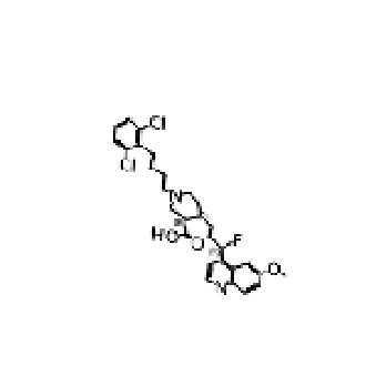 COc1ccc2nccc([C@H](F)CC[C@@H]3CCN(CCCCc4c(Cl)cccc4Cl)C[C@@H]3C(=O)O)c2c1